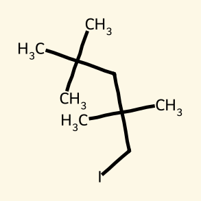 CC(C)(C)CC(C)(C)CI